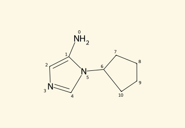 Nc1cncn1C1CCCC1